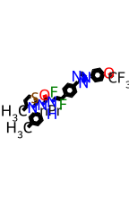 CCCc1ccc(C)cc1N1/C(=N/C(=O)N/C(F)=C(\F)c2ccc(-c3ncn(-c4ccc(OC(F)(F)F)cc4)n3)cc2)SCCC1C